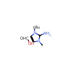 CCCCN1C=CN(C)C1N.O=CO